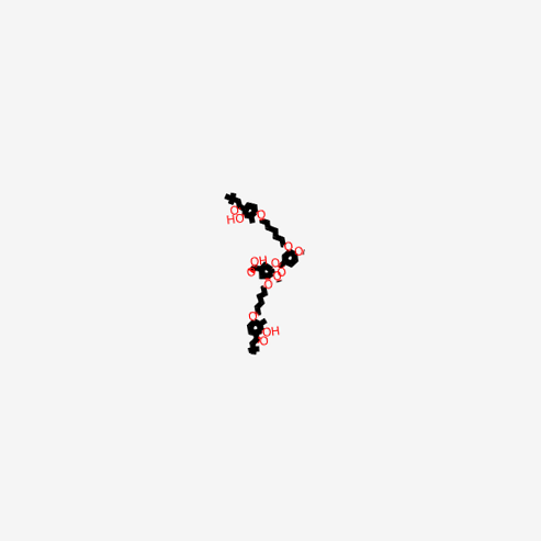 COc1ccc(C(=O)Oc2cc(C(=O)O)cc(OCCCCCCOc3ccc(C(=O)CC(C)(C)C)c(O)c3C)c2OC)cc1OCCCCCCCOc1ccc(C(=O)CC(C)(C)C)c(O)c1C